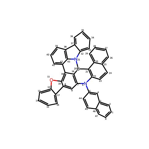 c1ccc2cc(N3c4cc5c(oc6ccccc65)c5c4B(c4c3ccc3ccccc43)n3c4ccccc4c4cccc-5c43)ccc2c1